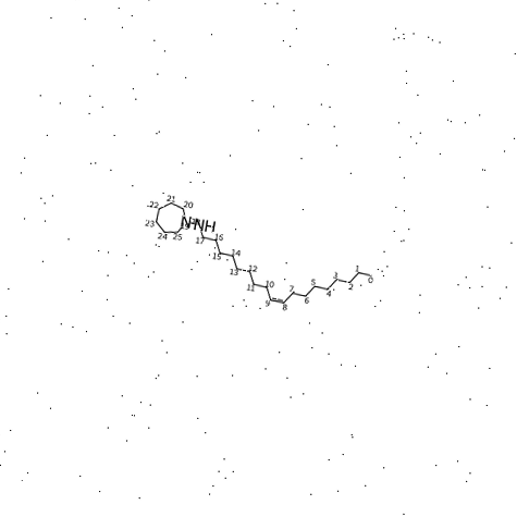 CCCCCCCC/C=C\CCCCCCCCNN1CCCCCC1